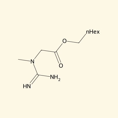 CCCCCCCOC(=O)CN(C)C(=N)N